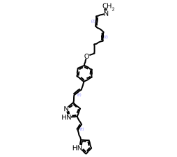 C=N/C=C\C=C/CCOc1ccc(/C=C/c2cc(/C=C/c3ccc[nH]3)[nH]n2)cc1